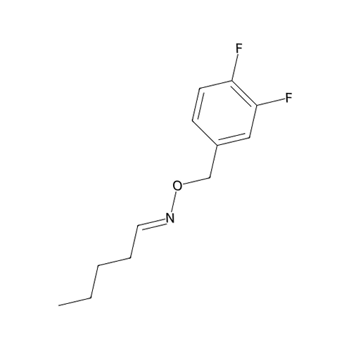 CCCCC=NOCc1ccc(F)c(F)c1